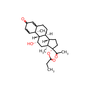 CCC(=O)O[C@@]1(C(C)=O)CC[C@H]2[C@@H]3CCC4=CC(=O)C=C[C@]4(C)[C@H]3[C@@H](O)C[C@@]21C